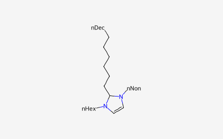 CCCCCCCCCCCCCCCCC1N(CCCCCC)C=CN1CCCCCCCCC